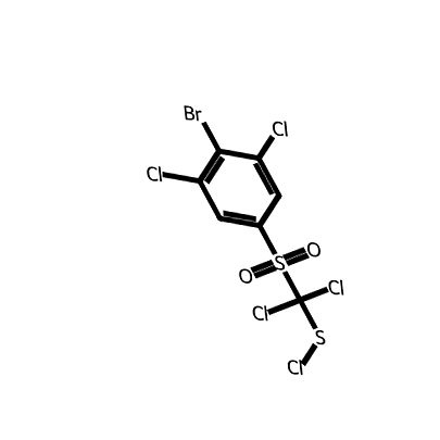 O=S(=O)(c1cc(Cl)c(Br)c(Cl)c1)C(Cl)(Cl)SCl